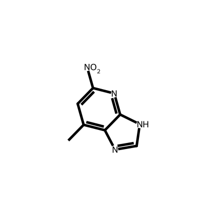 Cc1cc([N+](=O)[O-])nc2[nH]cnc12